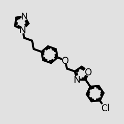 Clc1ccc(-c2nc(COc3ccc(CCCn4ccnc4)cc3)co2)cc1